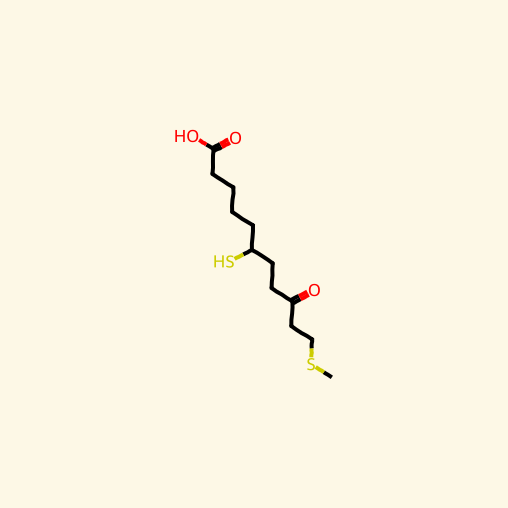 CSCCC(=O)CCC(S)CCCCC(=O)O